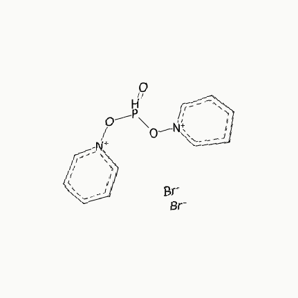 O=[PH](O[n+]1ccccc1)O[n+]1ccccc1.[Br-].[Br-]